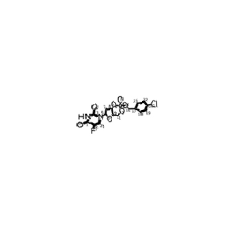 O=c1[nH]c(=O)n(-c2cc3c(o2)COP(=O)(OCc2ccc(Cl)cc2)O3)cc1F